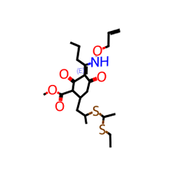 C=CCON/C(CCC)=C1\C(=O)CC(CC(C)SC(C)SCC)C(C(=O)OC)C1=O